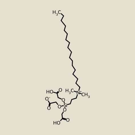 CCCCCCCCCCCCCCCCCC[N+](C)(C)CCC[Si](OCC(=O)[O-])(OCC(=O)O)OCC(=O)O